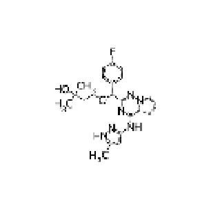 Cc1cc(Nc2nc(C(OCCC(C)(C)O)c3ccc(F)cc3)nn3cccc23)n[nH]1